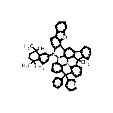 CC1(C)CCC(C)(C)c2cc(N3B4c5cccc6c5N5c7c(cccc7C6(c6ccccc6)c6ccccc6)C6(C)c7ccccc7-c7cc(c4c5c76)-c4c3ccc3c4oc4ccccc43)ccc21